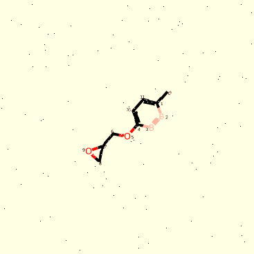 Cc1bbc(OCC2CO2)cc1